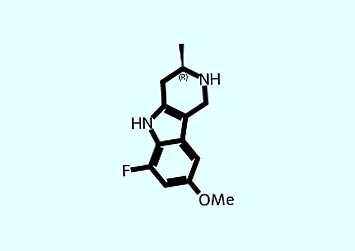 COc1cc(F)c2[nH]c3c(c2c1)CN[C@H](C)C3